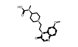 COc1ccc2ncc(=O)n(CCN3CCC(N(C)C(=O)O)CC3)c2c1